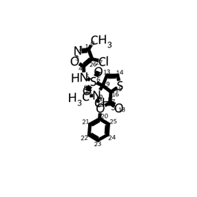 Cc1noc(NS(=O)(=O)C2(N(C)C)C=CSC2C(=O)Oc2ccccc2)c1Cl